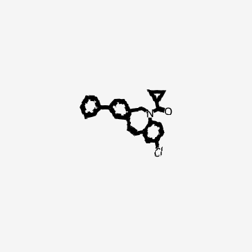 O=C(C1CC1)N1Cc2ccc(-c3ccccc3)cc2C=Cc2cc(Cl)ccc21